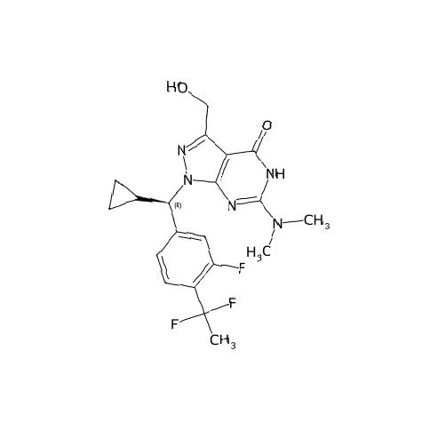 CN(C)c1nc2c(c(CO)nn2[C@@H](c2ccc(C(C)(F)F)c(F)c2)C2CC2)c(=O)[nH]1